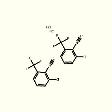 Cl.Cl.[C-]#[N+]c1c(Cl)cccc1C(F)(F)F.[C-]#[N+]c1c(Cl)cccc1C(F)(F)F